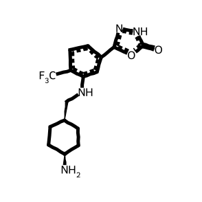 N[C@H]1CC[C@@H](CNc2cc(-c3n[nH]c(=O)o3)ccc2C(F)(F)F)CC1